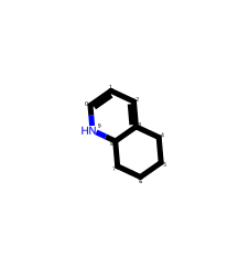 [C]1=CC=C2CCCCC2N1